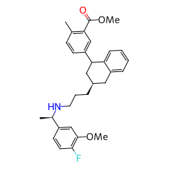 COC(=O)c1cc(C2C[C@H](CCCN[C@H](C)c3ccc(F)c(OC)c3)Cc3ccccc32)ccc1C